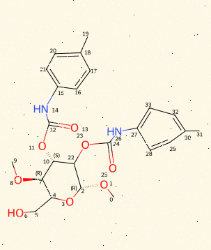 CO[C@@H]1OC(CO)[C@@H](OC)[C@H](OC(=O)Nc2ccc(C)cc2)C1OC(=O)Nc1ccc(C)cc1